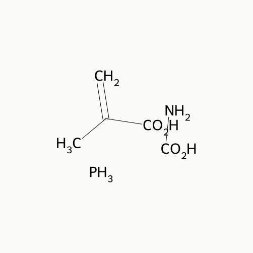 C=C(C)C(=O)O.NC(=O)O.P